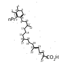 CCCC1=C(C)C(C)CC=C1CCC(C)CCCC(C)CCC/C(C)=C/CCC(C)C(=O)O